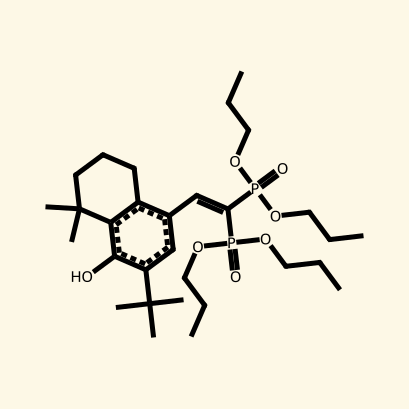 CCCOP(=O)(OCCC)C(=Cc1cc(C(C)(C)C)c(O)c2c1CCCC2(C)C)P(=O)(OCCC)OCCC